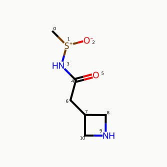 C[S+]([O-])NC(=O)CC1CNC1